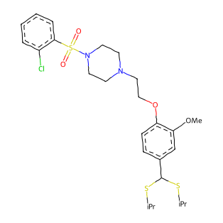 COc1cc(C(SC(C)C)SC(C)C)ccc1OCCN1CCN(S(=O)(=O)c2ccccc2Cl)CC1